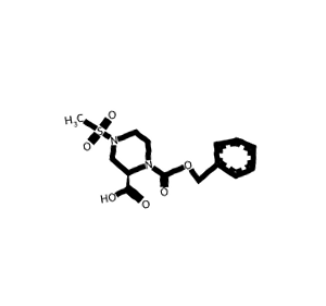 CS(=O)(=O)N1CCN(C(=O)OCc2ccccc2)[C@@H](C(=O)O)C1